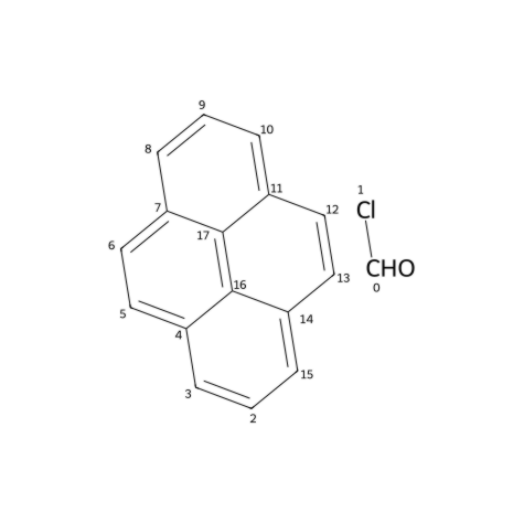 O=CCl.c1cc2ccc3cccc4ccc(c1)c2c34